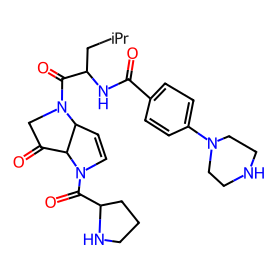 CC(C)CC(NC(=O)c1ccc(N2CCNCC2)cc1)C(=O)N1CC(=O)C2C1C=CN2C(=O)C1CCCN1